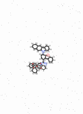 CC1C/C=C(c2ccc(-c3ccccc3)cc2)/N=C(c2ccc(-n3c4ccccc4c4cc5ccccc5cc43)c3oc4ccccc4c23)\N=C/1c1cccc2ccccc12